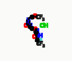 Cl.Cn1c(C(=O)N2CCN(Cc3ccc(OCC(F)(F)F)cc3)CC2)cc2ccc(Oc3ccc(NC(=O)c4ccc(C(F)(F)F)c(F)c4)cn3)cc21